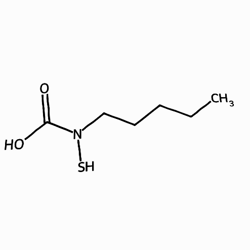 CCCCCN(S)C(=O)O